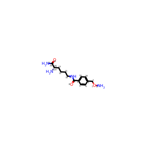 NOCc1ccc(C(=O)NCCCC[C@H](N)C(N)=O)cc1